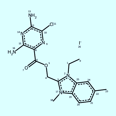 CCn1c(COC(=O)c2nc(Cl)c(N)nc2N)[n+](C)c2ccc(C)cc21.[I-]